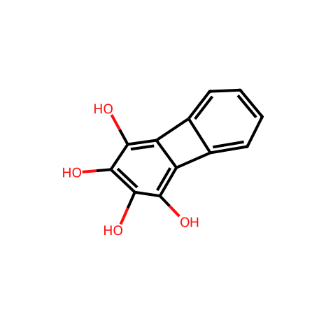 Oc1c(O)c(O)c2c(c1O)-c1ccccc1-2